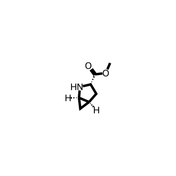 COC(=O)[C@@H]1C[C@H]2C[C@H]2N1